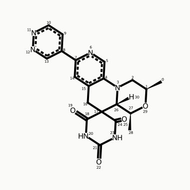 C[C@@H]1CN2c3cnc(-c4ccnnc4)cc3CC3(C(=O)NC(=O)NC3=O)[C@H]2[C@H](C)O1